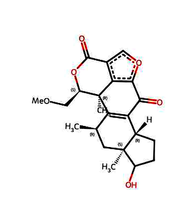 COC[C@H]1OC(=O)c2coc3c2[C@@]1(C)C1=C(C3=O)[C@@H]2CCC(O)[C@@]2(C)C[C@H]1C